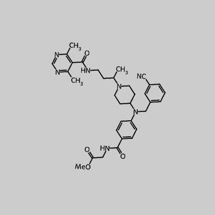 COC(=O)CNC(=O)c1ccc(N(Cc2cccc(C#N)c2)C2CCN(C(C)CCNC(=O)c3c(C)ncnc3C)CC2)cc1